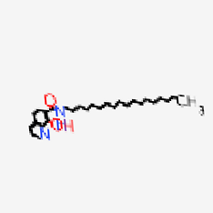 CCCCCCCCCCCCCCCCCCNC(=O)c1ccc2cccnc2c1O